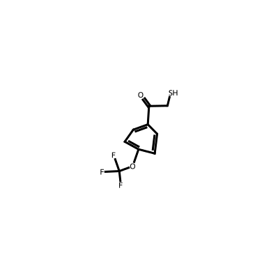 O=C(CS)c1ccc(OC(F)(F)F)cc1